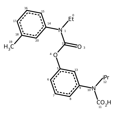 CCN(C(=O)Oc1cccc(N(C(=O)O)C(C)C)c1)c1cccc(C)c1